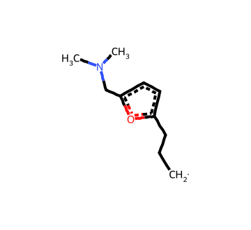 [CH2]CCc1ccc(CN(C)C)o1